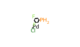 Cl[CH2][Pd].Fc1cc(F)cc(P)c1